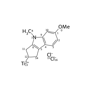 COc1ccc2c3c(n(C)c2c1)C[CH]([Ti+2])C3.[Cl-].[Cl-]